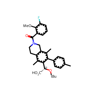 COc1c(F)cccc1C(=O)N1CCc2c(C)c([C@H](OC(C)(C)C)C(=O)O)c(-c3ccc(C)cc3)c(C)c2C1